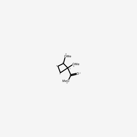 COC(=O)C1(OC)CCC1OC